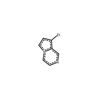 CCc1ccn2ccncc12